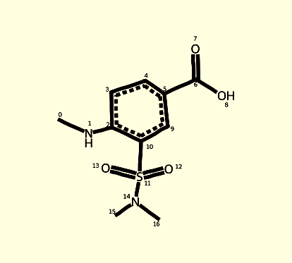 CNc1ccc(C(=O)O)cc1S(=O)(=O)N(C)C